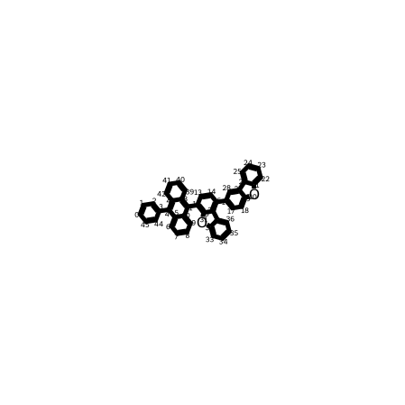 c1ccc(-c2c3ccccc3c(-c3ccc(-c4ccc5oc6ccccc6c5c4)c4c3oc3ccccc34)c3ccccc23)cc1